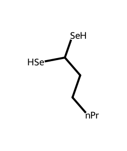 CCCCCC([SeH])[SeH]